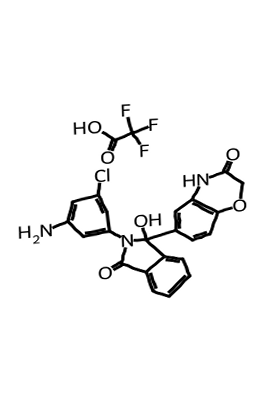 Nc1cc(Cl)cc(N2C(=O)c3ccccc3C2(O)c2ccc3c(c2)NC(=O)CO3)c1.O=C(O)C(F)(F)F